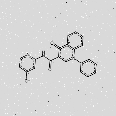 Cc1ccnc(NC(=O)c2cn(-c3ccccc3)c3ccccc3c2=O)c1